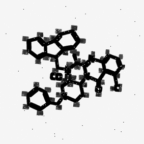 C[C@@H](c1nc2cccc(Cl)c2c(=O)n1C1CCN(Cc2ccccc2)CC1)N(CC1c2ccccc2-c2ccccc21)C(=O)O